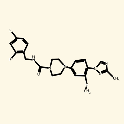 COc1cc(N2CCN(C(=O)NCc3ccc(F)cc3F)CC2)ccc1-n1cnc(C)n1